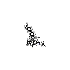 COC(=O)/C=C/c1cc(F)cc(N(C(=O)[C@@H]2C[C@@H]3CC[C@H]2C3)C(O)c2ccc(-c3ccc4c(cnn4C)c3)cc2)c1